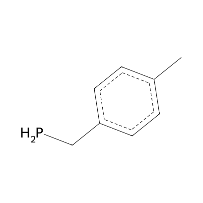 Cc1ccc(CP)cc1